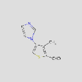 Cc1c(-n2ccnc2)csc1C=O